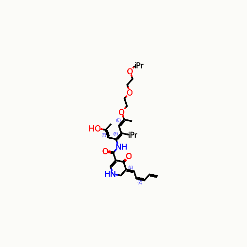 C=C/C=C\C=C1/CNC=C(C(=O)NC(/C=C(\C)O)=C(/C=C(\C)OCCOCCOC(C)C)C(C)C)C1=O